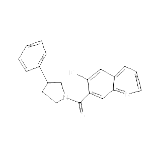 O=C(c1cc2ncccc2cc1O)N1CCC(c2ccccc2)C1